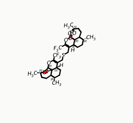 C[C@@H]1CC[C@H]2C(CSCC3=C(C(F)(F)F)O[C@@H]4O[C@]5(C)CCC6[C@H](C)CC[C@@H]3[C@]64OO5)=C(C(F)(F)F)O[C@@H]3O[C@]4(C)CCC1[C@]32OO4